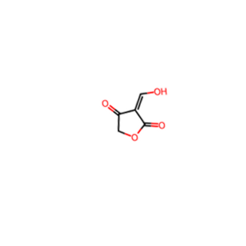 O=C1COC(=O)/C1=C\O